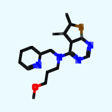 COCCCN(CC1CCCC=N1)C1=NC=NC2SC(C)C(C)C12